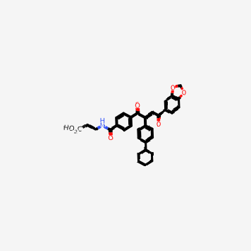 O=C(O)CCNC(=O)c1ccc(C(=O)C(=CC(=O)c2ccc3c(c2)OCO3)c2ccc(C3CCCCC3)cc2)cc1